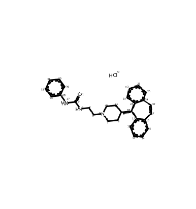 Cl.O=C(NCCN1CCC(=C2c3ccccc3C=Cc3ccccc32)CC1)Nc1ccccc1